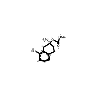 COC(=O)O[C@@]1(N)CCc2cccc(O)c2C1